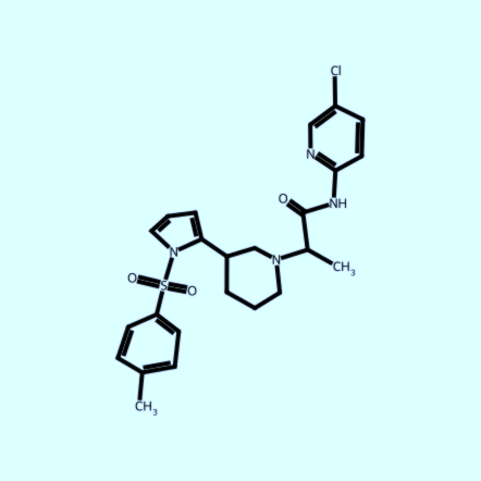 Cc1ccc(S(=O)(=O)n2cccc2C2CCCN(C(C)C(=O)Nc3ccc(Cl)cn3)C2)cc1